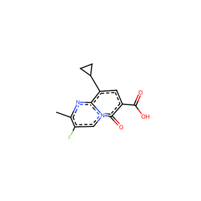 Cc1nc2c(C3CC3)cc(C(=O)O)c(=O)n2cc1F